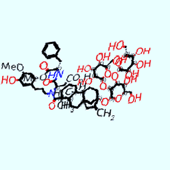 C=C1C[C@@]23CC[C@H]4[C@@](C)(CCC[C@@]4(C)C(=O)N(CCCc4ccc(OC)c(O)c4)[C@H](CC(=O)O)C(=O)N[C@@H](Cc4ccccc4)C(=O)OC)[C@@H]2CC[C@]1(O[C@@H]1O[C@H](CO)[C@@H](O)[C@H](O[C@@H]2O[C@H](CO)[C@@H](O)[C@H](O)[C@H]2O)[C@H]1O[C@@H]1O[C@H](CO)[C@@H](O)[C@H](O)[C@H]1O)C3